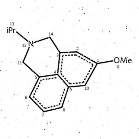 COc1cc2c3c(cccc3c1)CN(C(C)C)C2